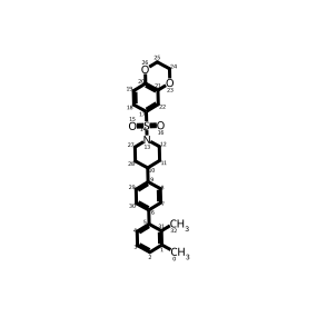 Cc1cccc(-c2ccc(C3CCN(S(=O)(=O)c4ccc5c(c4)OCCO5)CC3)cc2)c1C